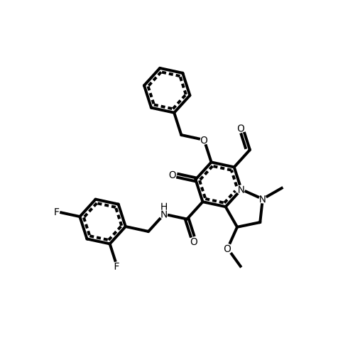 COC1CN(C)n2c(C=O)c(OCc3ccccc3)c(=O)c(C(=O)NCc3ccc(F)cc3F)c21